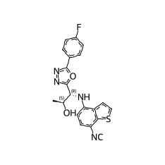 [C-]#[N+]c1ccc(N[C@@H](c2nnc(-c3ccc(F)cc3)o2)[C@H](C)O)c2ccsc12